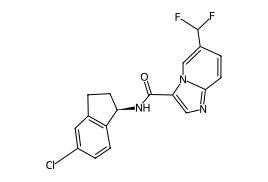 O=C(N[C@@H]1CCc2cc(Cl)ccc21)c1cnc2ccc(C(F)F)cn12